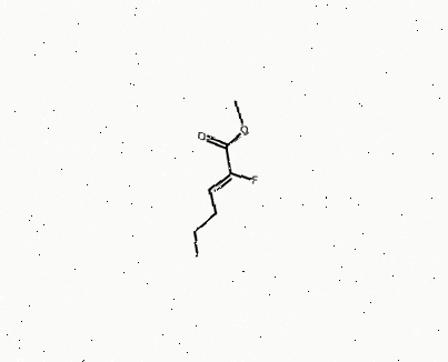 CCC/C=C(\F)C(=O)OC